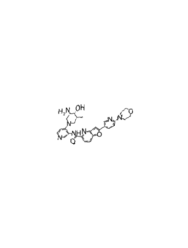 C[C@H]1CN(c2ccncc2NC(=O)c2ccc3oc(-c4ccc(N5CCOCC5)nc4)cc3n2)C[C@@H](N)[C@@H]1O